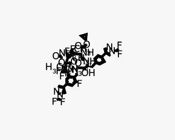 CC(C)(C(NC(=O)OC1CC1)C(=O)N[C@@H](Cc1ccc(-c2cnn(C(F)F)c2)cc1)[C@@H](O)CN(Cc1c(F)cc(-c2cnn(C(F)F)c2)cc1F)NC(=O)C(OC(N)=O)(C1CC1)C(C)(C)C(F)(F)F)C(F)(F)F